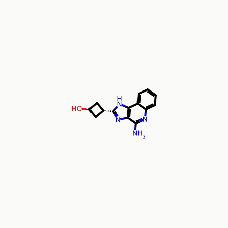 Nc1nc2ccccc2c2[nH]c([C@H]3C[C@H](O)C3)nc12